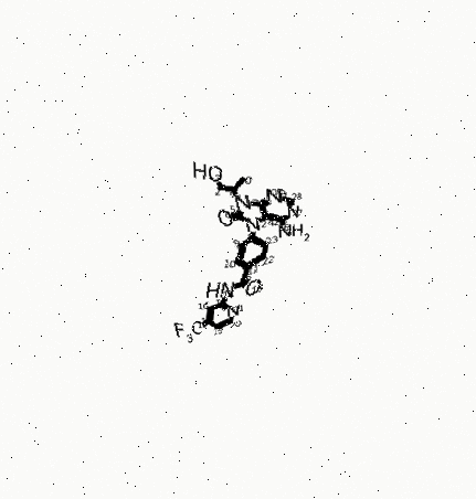 CC(CO)n1c(=O)n(-c2ccc(C(=O)Nc3cc(C(F)(F)F)ccn3)cc2)c2c(N)ncnc21